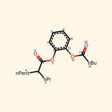 CCCCCC(CCC)C(=O)Oc1ccccc1OC(=O)CCCC